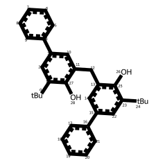 CC(C)(C)c1cc(-c2ccccc2)cc(Cc2cc(-c3ccccc3)cc(C(C)(C)C)c2O)c1O